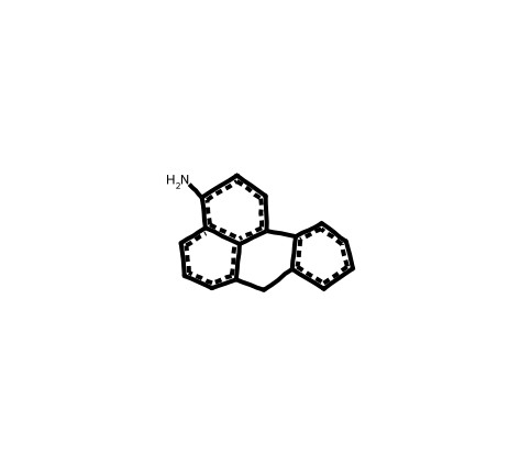 Nc1ccc2c3c(cccc13)Cc1ccccc1-2